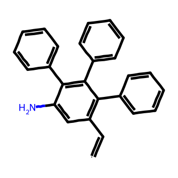 [CH]=Cc1cc(N)c(-c2ccccc2)c(-c2ccccc2)c1-c1ccccc1